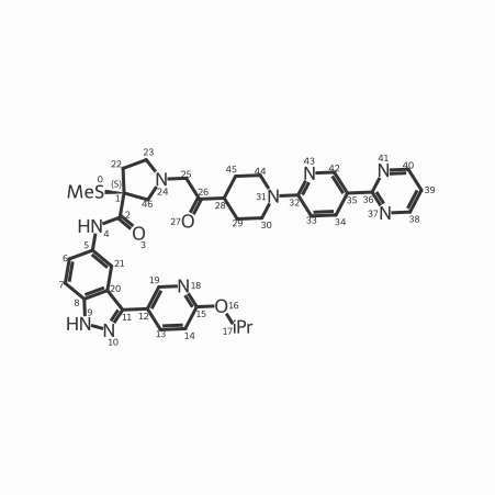 CS[C@@]1(C(=O)Nc2ccc3[nH]nc(-c4ccc(OC(C)C)nc4)c3c2)CCN(CC(=O)C2CCN(c3ccc(-c4ncccn4)cn3)CC2)C1